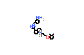 Cc1cccc(OCCCC(=O)N2CCCc3c(-c4cnn(Cc5cccc(N)c5)c4)cccc32)c1C